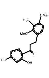 COc1ccc(CCC(=O)c2ccc(O)cc2O)c(OC)c1C